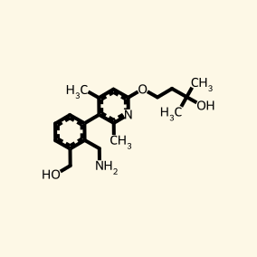 Cc1cc(OCCC(C)(C)O)nc(C)c1-c1cccc(CO)c1CN